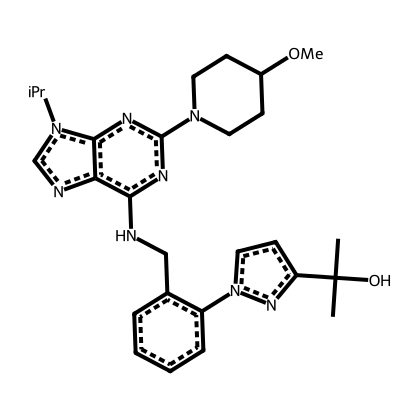 COC1CCN(c2nc(NCc3ccccc3-n3ccc(C(C)(C)O)n3)c3ncn(C(C)C)c3n2)CC1